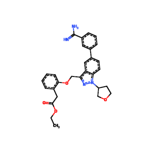 CCOC(=O)Cc1ccccc1OCc1nn(C2CCOC2)c2ccc(-c3cccc(C(=N)N)c3)cc12